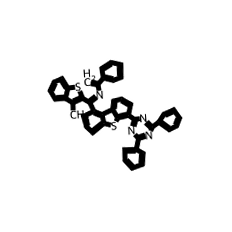 C=C(/N=C(\c1sc2ccccc2c1C)c1cccc2sc3c(-c4nc(-c5ccccc5)nc(-c5ccccc5)n4)cccc3c12)c1ccccc1